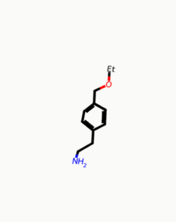 CCOCc1ccc(CCN)cc1